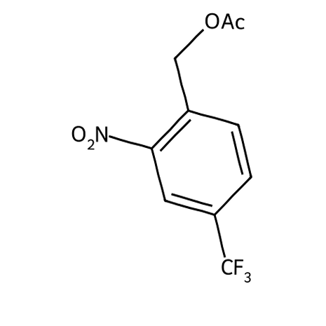 CC(=O)OCc1ccc(C(F)(F)F)cc1[N+](=O)[O-]